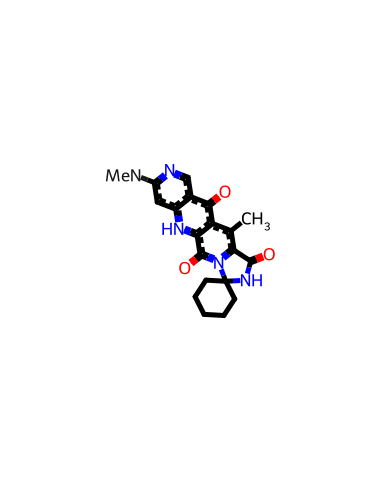 CNc1cc2[nH]c3c(=O)n4c(c(C)c3c(=O)c2cn1)C(=O)NC41CCCCC1